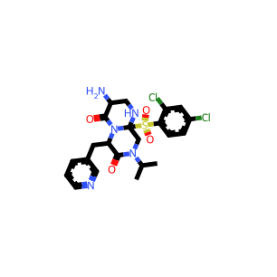 CC(C)N1CC2(S(=O)(=O)c3ccc(Cl)cc3Cl)NCC(N)C(=O)N2C(Cc2cccnc2)C1=O